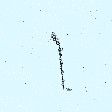 COCCOCCOCCOCCOCCOCCOCCOCCOCCOC(=O)/C=C/c1ccc(-c2nc3c(=O)n(C)c(=O)n(C)c3[nH]2)cc1